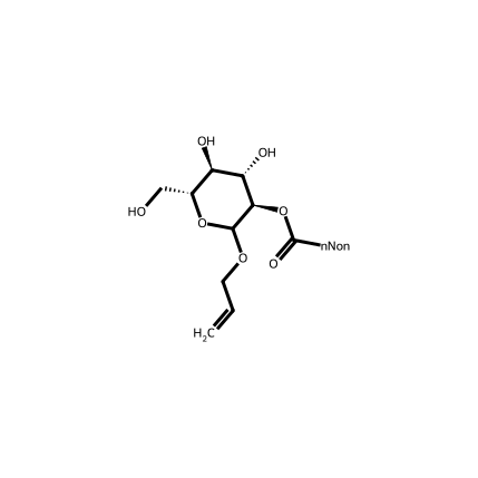 C=CCOC1O[C@H](CO)[C@@H](O)[C@H](O)[C@H]1OC(=O)CCCCCCCCC